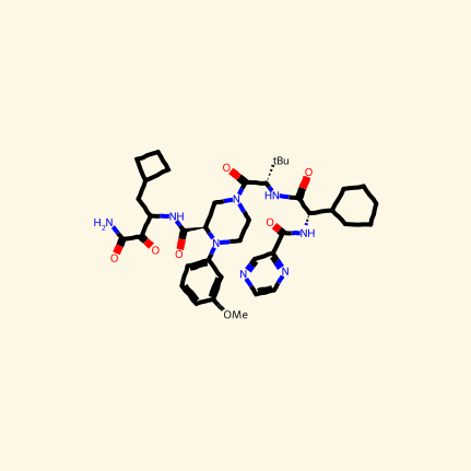 COc1cccc(N2CCN(C(=O)[C@@H](NC(=O)[C@@H](NC(=O)c3cnccn3)C3CCCCC3)C(C)(C)C)C[C@@H]2C(=O)NC(CC2CCC2)C(=O)C(N)=O)c1